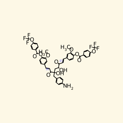 COc1cc(/C=C/C(=O)C(O)CC(O)(Cc2ccc(N)cc2)C(=O)/C=C/c2ccc(OC(=O)c3ccc(OC(F)(F)F)cc3)c(OC)c2)ccc1OC(=O)c1ccc(OC(F)(F)F)cc1